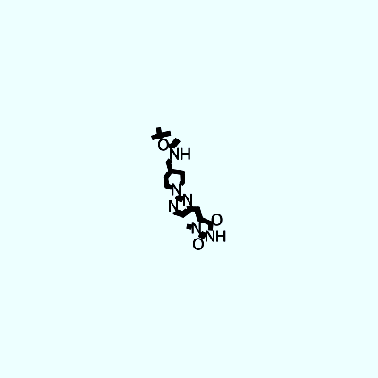 C=C(NCC1CCN(c2nccc(/C=C3/C(=O)NC(=O)N3C)n2)CC1)OC(C)(C)C